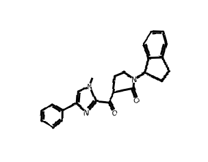 Cn1cc(-c2ccccc2)nc1C(=O)C1CCN(C2CCc3ccccc32)C1=O